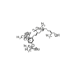 COC(=O)C(=CCc1cc(O[Si](C)(C)C(C)(C)C)ccc1O[Si](C)(C)C(C)(C)C)CC/C=C(\C)CC/C=C(\C)CO